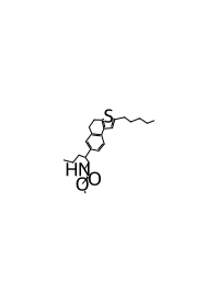 CCCCCc1cc2c(s1)CCc1cc(C(CCC)CNC(=O)OC)ccc1-2